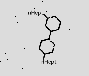 CCCCCCCC1CCC(C2CCCC(CCCCCCC)C2)CC1